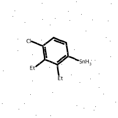 CCc1c(Cl)cc[c]([SnH3])c1CC